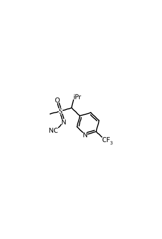 CC(C)C(c1ccc(C(F)(F)F)nc1)S(C)(=O)=NC#N